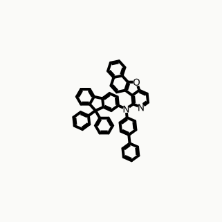 c1ccc(-c2ccc(N(c3ccc4c(c3)C(c3ccccc3)(c3ccccc3)c3ccccc3-4)c3nccc4oc5c6ccccc6ccc5c34)cc2)cc1